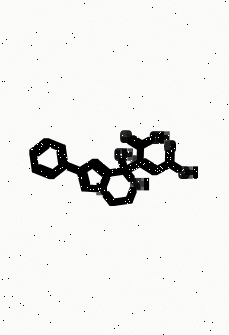 CC1(C(=CC(=O)O)C(=O)O)NCCn2cc(-c3ccccc3)cc21